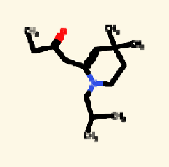 CCC(=O)CC1=CC(C)(C)CCN1CC(C)C